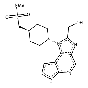 CNS(=O)(=O)C[C@H]1CC[C@H](n2c(CO)nc3cnc4[nH]ccc4c32)CC1